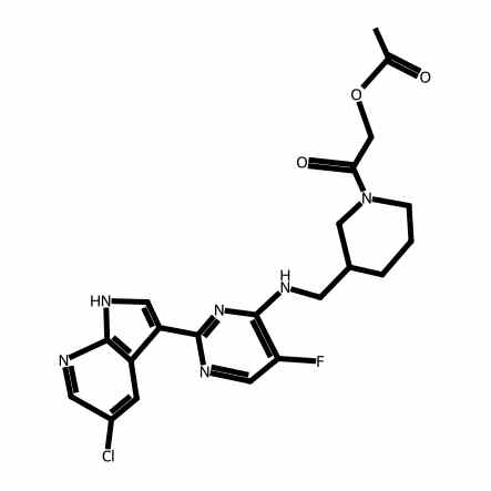 CC(=O)OCC(=O)N1CCCC(CNc2nc(-c3c[nH]c4ncc(Cl)cc34)ncc2F)C1